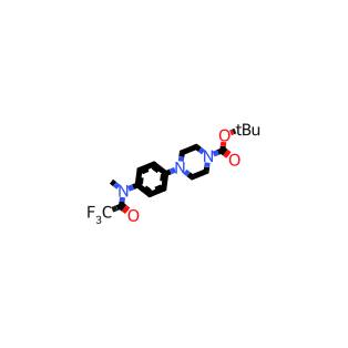 CN(C(=O)C(F)(F)F)c1ccc(N2CCN(C(=O)OC(C)(C)C)CC2)cc1